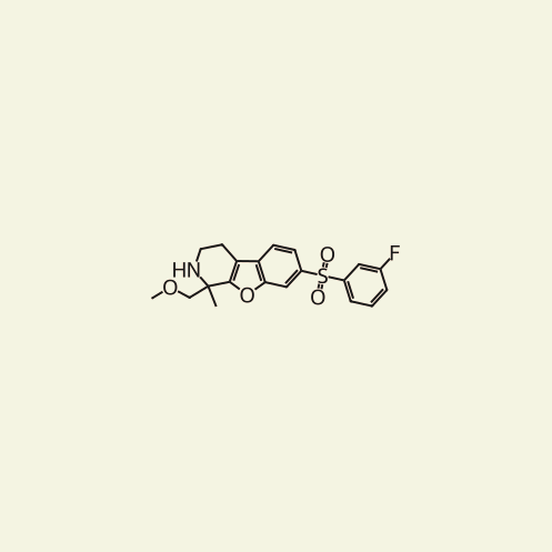 COCC1(C)NCCc2c1oc1cc(S(=O)(=O)c3cccc(F)c3)ccc21